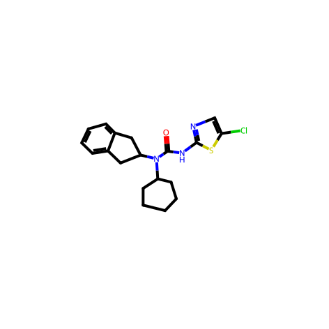 O=C(Nc1ncc(Cl)s1)N(C1CCCCC1)C1Cc2ccccc2C1